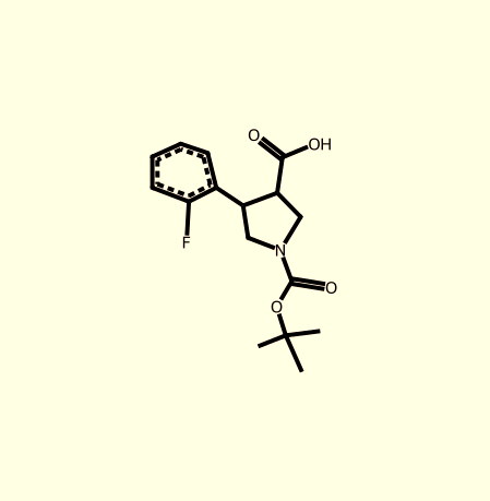 CC(C)(C)OC(=O)N1CC(C(=O)O)C(c2ccccc2F)C1